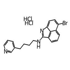 Brc1ccc2c3c(cccc13)C(NCCCCc1cccnc1)=N2.Cl.Cl